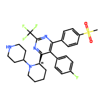 CS(=O)(=O)c1ccc(-c2nc(C(F)(F)F)nc([C@H]3CCCCN3C3CCNCC3)c2-c2ccc(F)cc2)cc1